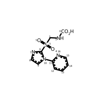 O=C(O)NCS(=O)(=O)c1nccn1-c1ccccn1